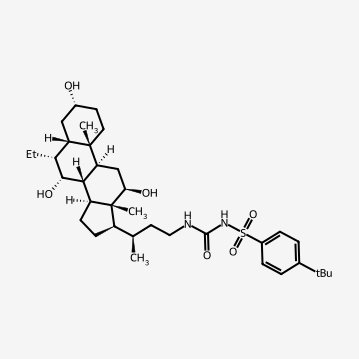 CC[C@H]1[C@@H](O)[C@@H]2[C@H](C[C@@H](O)[C@]3(C)[C@@H]([C@H](C)CCNC(=O)NS(=O)(=O)c4ccc(C(C)(C)C)cc4)CC[C@@H]23)[C@@]2(C)CC[C@@H](O)C[C@@H]12